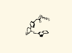 NNC(=O)Cc1ccc(C2CCNCC2OCc2ccc3ccccc3c2)cc1